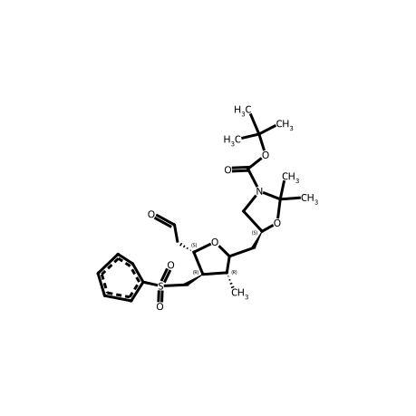 C[C@H]1C(C[C@H]2CN(C(=O)OC(C)(C)C)C(C)(C)O2)O[C@@H](CC=O)[C@@H]1CS(=O)(=O)c1ccccc1